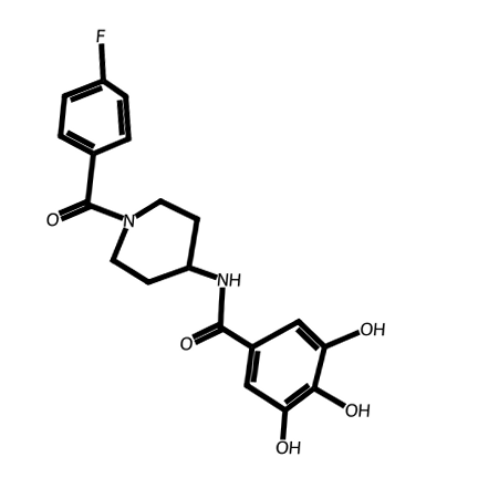 O=C(NC1CCN(C(=O)c2ccc(F)cc2)CC1)c1cc(O)c(O)c(O)c1